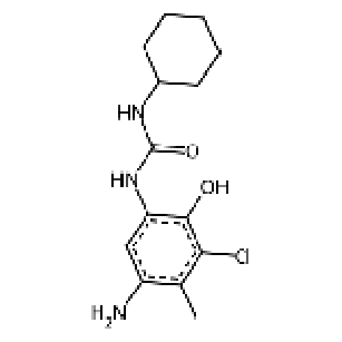 Cc1c(N)cc(NC(=O)NC2CCCCC2)c(O)c1Cl